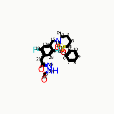 C[C@H]1CC[C@H](c2ccccc2)S(=O)(=O)N1Cc1cc(F)c(Cc2n[nH]c(=O)o2)cc1F